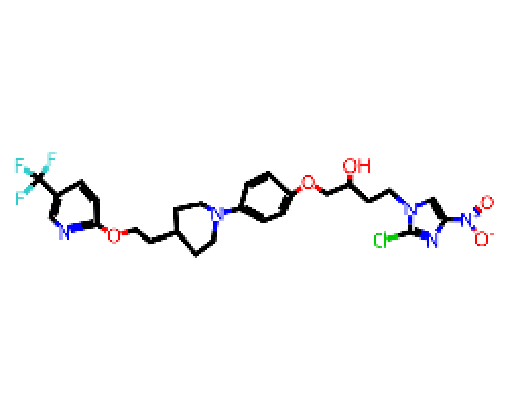 O=[N+]([O-])c1cn(CCC(O)COc2ccc(N3CCC(CCOc4ccc(C(F)(F)F)cn4)CC3)cc2)c(Cl)n1